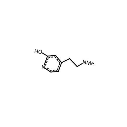 CNCCc1ccnc(O)c1